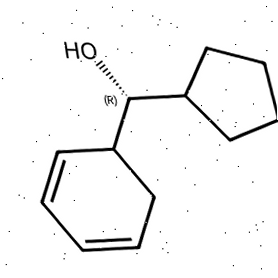 O[C@@H](C1C=CC=CC1)C1CCCC1